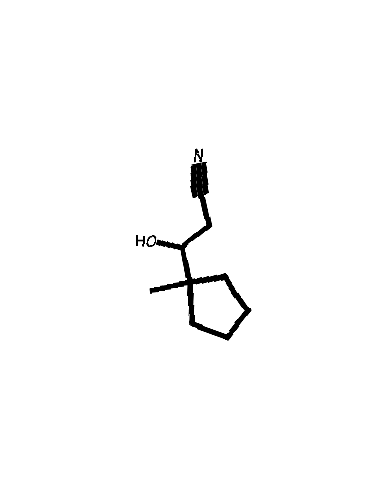 CC1(C(O)CC#N)CCCC1